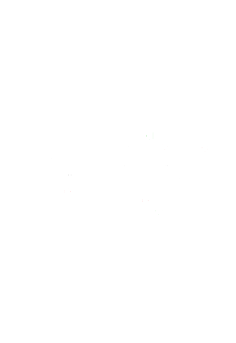 COc1cccc(Cl)c1C(=O)[PH](=O)c1c(Cl)ccc(C(=O)c2ccccc2)c1Cl